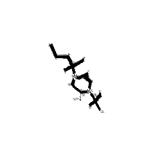 CCCC(C)(C)N1CCN(C(C)(C)C)[C@H](C)C1